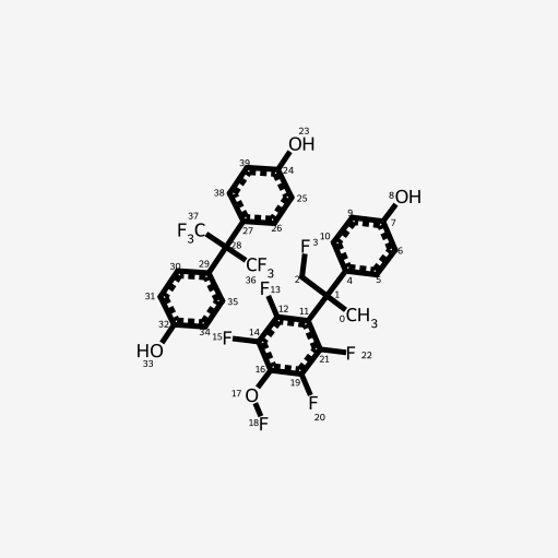 CC(CF)(c1ccc(O)cc1)c1c(F)c(F)c(OF)c(F)c1F.Oc1ccc(C(c2ccc(O)cc2)(C(F)(F)F)C(F)(F)F)cc1